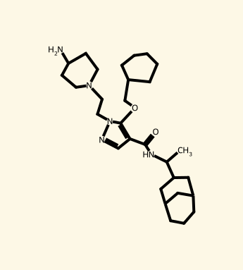 CC(NC(=O)c1cnn(CCN2CCC(N)CC2)c1OCC1CCCCC1)C1CC2CCCC(C2)C1